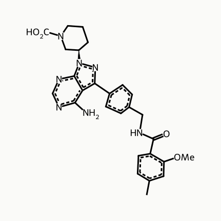 COc1cc(C)ccc1C(=O)NCc1ccc(-c2nn([C@@H]3CCCN(C(=O)O)C3)c3ncnc(N)c23)cc1